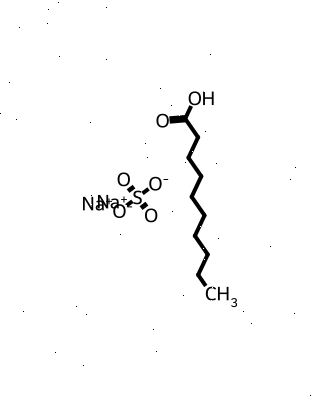 CCCCCCCCCC(=O)O.O=S(=O)([O-])[O-].[Na+].[Na+]